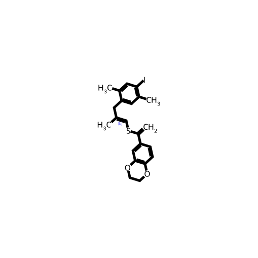 C=C(S/C=C(\C)Cc1cc(C)c(I)cc1C)c1ccc2c(c1)OCCO2